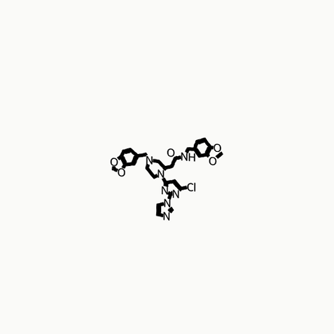 O=C(CC1CN(Cc2ccc3c(c2)OCO3)CCN1c1cc(Cl)nc(-n2ccnc2)n1)NCc1ccc2c(c1)OCO2